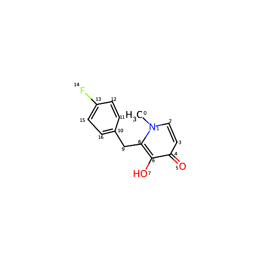 Cn1ccc(=O)c(O)c1Cc1ccc(F)cc1